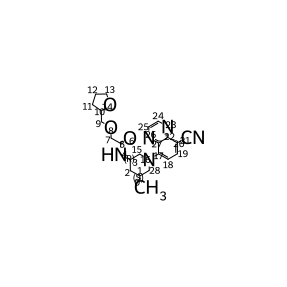 C[C@H]1C[C@@H](NC(=O)COCC2CCCO2)CN(c2ccc(C#N)c3nccnc23)C1